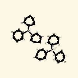 c1ccc(N(c2ccccc2)c2ccccc2)cc1.c1ccc(P(c2ccccc2)c2ccccc2)cc1